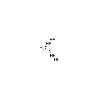 C.F.F.F.F.N